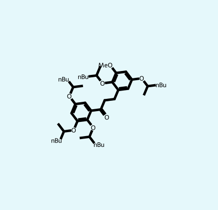 CCCCC(C)Oc1cc(CCC(=O)c2cc(OC(C)CCCC)cc(OC(C)CCCC)c2OC(C)CCCC)c(OC(C)CCCC)c(OC)c1